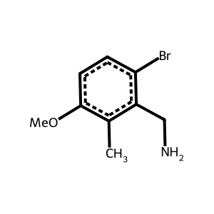 COc1ccc(Br)c(CN)c1C